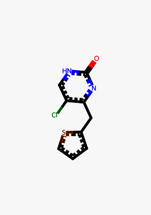 O=c1nc(Cc2cccs2)c(Cl)c[nH]1